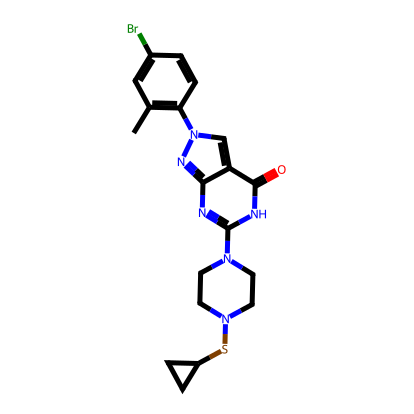 Cc1cc(Br)ccc1-n1cc2c(=O)[nH]c(N3CCN(SC4CC4)CC3)nc2n1